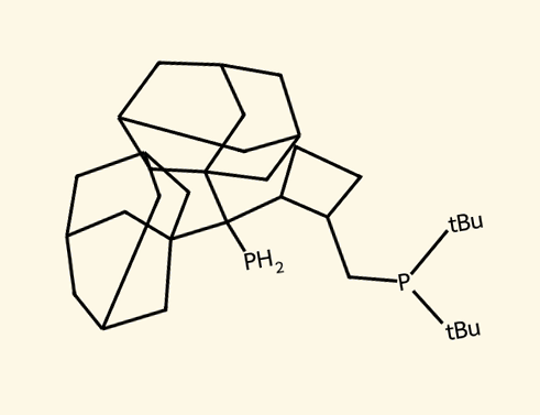 CC(C)(C)P(CC1CCC1C(P)(C12CC3CC(CC(C3)C1)C2)C12CC3CC(CC(C3)C1)C2)C(C)(C)C